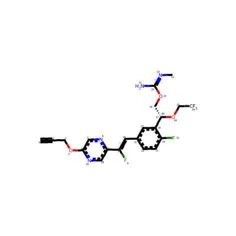 C#CCOc1cnc(/C(F)=C/c2ccc(F)c([C@H](CO/C(N)=N\C)OCC(F)(F)F)c2)cn1